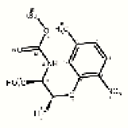 Cc1ccc([N+](=O)[O-])c(O[C@@H](C)[C@H](NC(=O)OC(C)(C)C)C(=O)O)c1